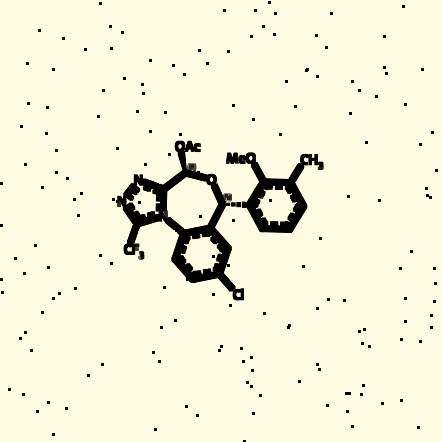 COc1c(C)cccc1[C@H]1O[C@H](OC(C)=O)c2nnc(C(F)(F)F)n2-c2ccc(Cl)cc21